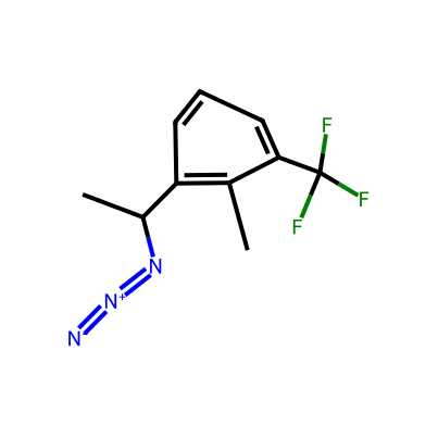 Cc1c(C(C)N=[N+]=[N-])cccc1C(F)(F)F